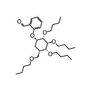 CCCCOC[C@H]1C[C@@H](Oc2ccccc2C=O)[C@H](OCCCC)[C@@H](OCCCC)[C@@H]1OCCCC